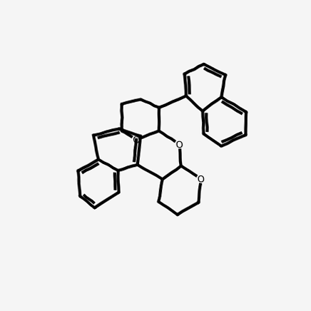 c1ccc2c(C3CCCOC3OC3OCCCC3c3cccc4ccccc34)cccc2c1